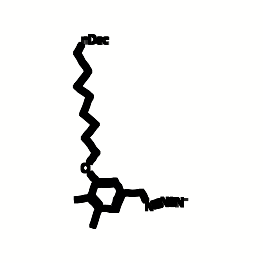 CCCCCCCCCCCCCCCCCCOc1cc(CN=[N+]=[N-])cc(C)c1C